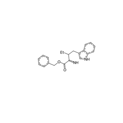 CCC(Cc1c[nH]c2ccccc12)C(=N)C(=O)OCc1ccccc1